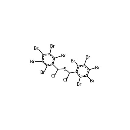 ClC(SC(Cl)c1c(Br)c(Br)c(Br)c(Br)c1Br)c1c(Br)c(Br)c(Br)c(Br)c1Br